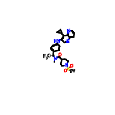 CC(C)S(=O)(=O)N1CCC(C(=O)N(C)[C@@H](c2ccc(Nc3cnc4cccnc4c3C3CC3)cc2)C(F)(F)F)CC1